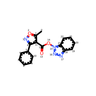 Cc1onc(-c2ccccc2)c1C(=O)On1nnc2ccccc21